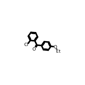 CCOc1ccc(C(=O)c2ccccc2Cl)cc1